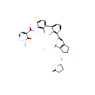 COc1nc(-c2cccc(-c3cccc(NC(=O)c4ccnn(C)c4=O)c3C)c2Cl)cc2c1[C@@H](NC[C@@H]1CCC(=O)N1)[C@@H](O)C2